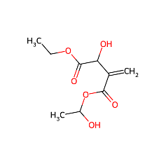 C=C(C(=O)OC(C)O)C(O)C(=O)OCC